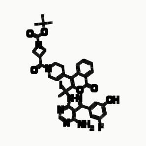 CC(C)(C)OC(=O)N1CC(C(=O)N2CC=C(c3c(C(C)(I)n4nc(-c5cc(O)cc(F)c5)c5c(N)ncnc54)oc(=O)c4ccccc34)CC2)C1